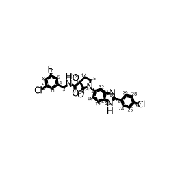 O=C(NCc1cc(F)cc(Cl)c1)C1(O)CCN(c2ccc3[nH]c(-c4ccc(Cl)cc4)nc3c2)C1=O